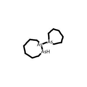 C1CCC[As]([As]2CCCCCC2)[AsH]CC1